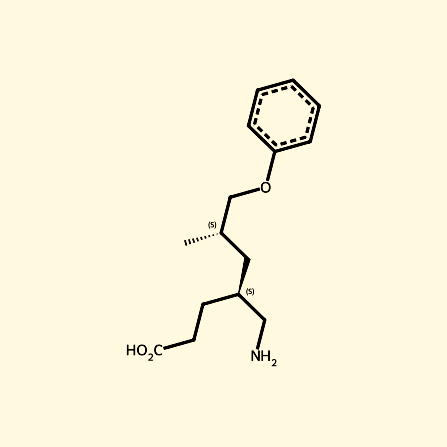 C[C@H](COc1ccccc1)C[C@@H](CN)CCC(=O)O